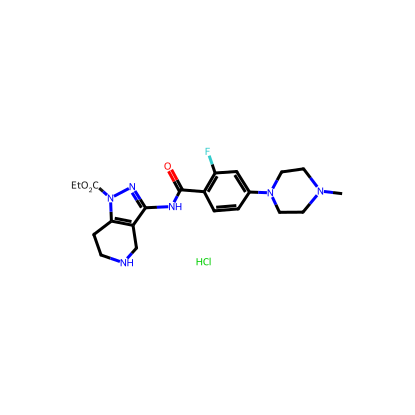 CCOC(=O)n1nc(NC(=O)c2ccc(N3CCN(C)CC3)cc2F)c2c1CCNC2.Cl